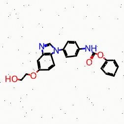 O=C(Nc1ccc(-n2cnc3cc(OCCO)ccc32)cc1)Oc1ccccc1